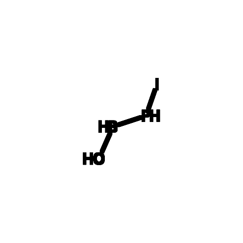 OBPI